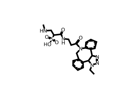 CCN1N=NC2c3ccccc3N(C(=O)CCNC(=O)C(CNC)S(=O)(=O)O)Cc3ccccc3C21